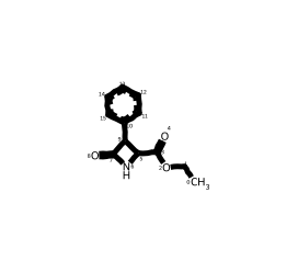 CCOC(=O)C1NC(=O)C1c1ccccc1